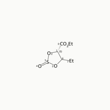 CCOC(=O)[C@H]1OS(=O)OC1CC